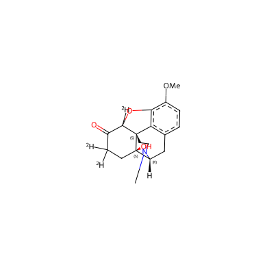 [2H]C1([2H])C[C@@]2(O)[C@H]3Cc4ccc(OC)c5c4[C@@]2(CCN3C)C([2H])(O5)C1=O